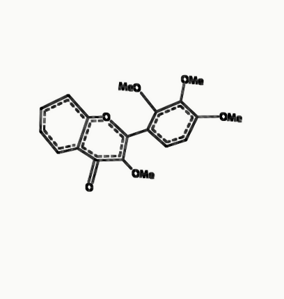 COc1ccc(-c2oc3ccccc3c(=O)c2OC)c(OC)c1OC